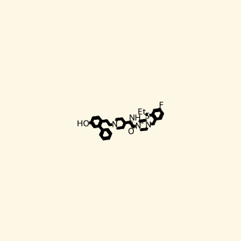 CCSc1cc(F)ccc1CN1CCN(C(=O)[C@H](N)C2CCN(CCc3ccc(O)cc3-c3ccccc3)CC2)CC1